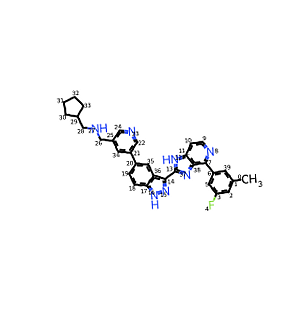 Cc1cc(F)cc(-c2nccc3[nH]c(-c4n[nH]c5ccc(-c6cncc(CNCC7CCCC7)c6)cc45)nc23)c1